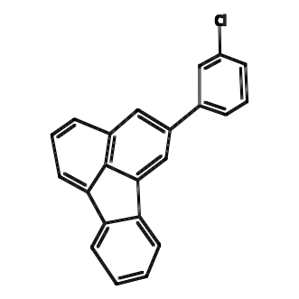 Clc1cccc(-c2cc3c4c(cccc4c2)-c2ccccc2-3)c1